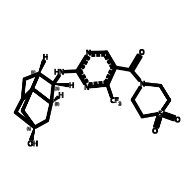 O=C(c1cnc(N[C@@H]2[C@@H]3CC4C[C@H]2C[C@@](O)(C4)C3)nc1C(F)(F)F)N1CCS(=O)(=O)CC1